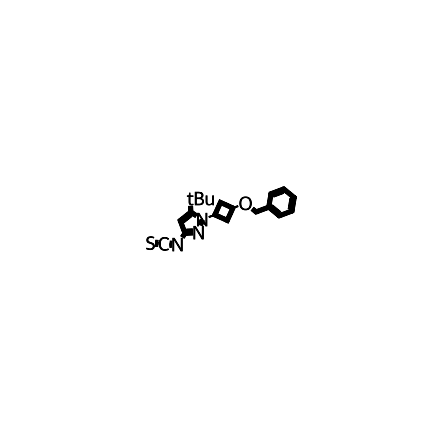 CC(C)(C)c1cc(N=C=S)nn1[C@H]1C[C@@H](OCc2ccccc2)C1